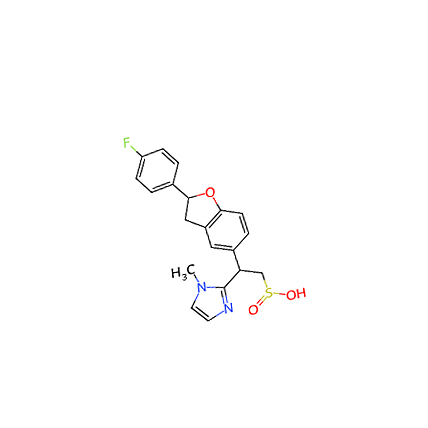 Cn1ccnc1C(CS(=O)O)c1ccc2c(c1)CC(c1ccc(F)cc1)O2